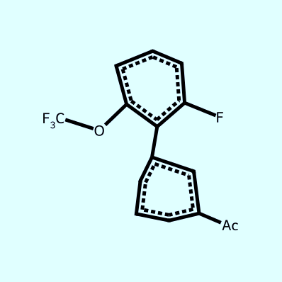 CC(=O)c1cccc(-c2c(F)cccc2OC(F)(F)F)c1